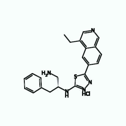 CCc1cncc2ccc(-c3nnc(N[C@@H](CN)Cc4ccccc4)s3)cc12.Cl